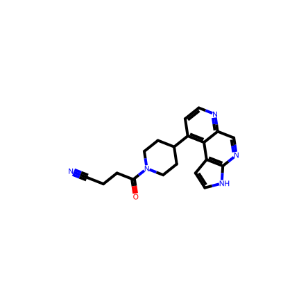 N#CCCC(=O)N1CCC(c2ccnc3cnc4[nH]ccc4c23)CC1